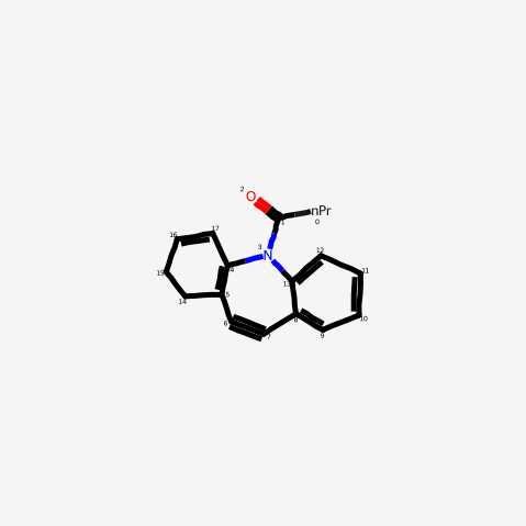 CCCC(=O)N1C2=C(C#Cc3ccccc31)CCC=C2